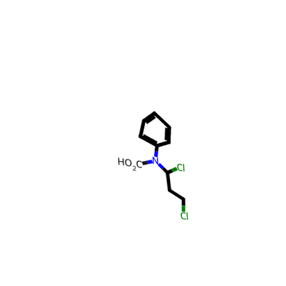 O=C(O)N(c1ccccc1)C(Cl)CCCl